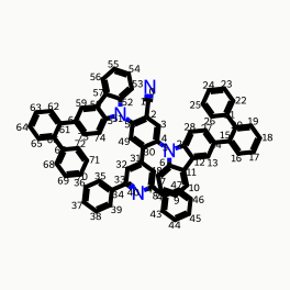 N#Cc1cc(-n2c3ccccc3c3cc(-c4ccccc4-c4ccccc4)ccc32)c(-c2cc(-c3ccccc3)nc(-c3ccccc3)c2)cc1-n1c2ccccc2c2cc(-c3ccccc3-c3ccccc3)ccc21